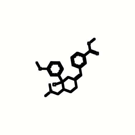 COC(=O)c1cccc(/C=C2/CCC(CN(C)C)C(Cl)(c3cccc(OC)c3)C2)c1